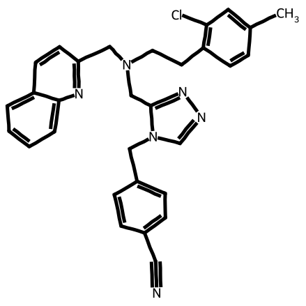 Cc1ccc(CCN(Cc2ccc3ccccc3n2)Cc2nncn2Cc2ccc(C#N)cc2)c(Cl)c1